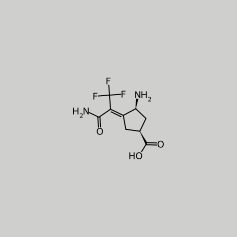 NC(=O)/C(=C1\C[C@H](C(=O)O)C[C@@H]1N)C(F)(F)F